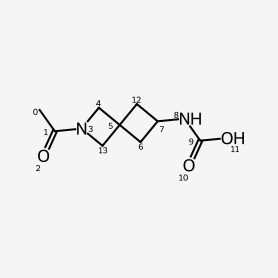 CC(=O)N1CC2(CC(NC(=O)O)C2)C1